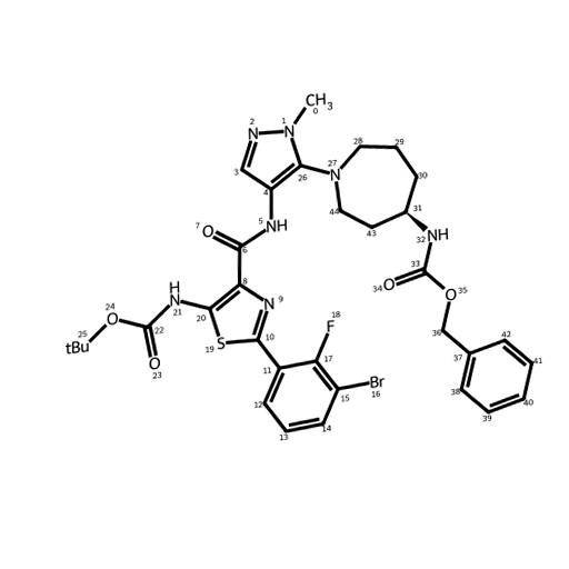 Cn1ncc(NC(=O)c2nc(-c3cccc(Br)c3F)sc2NC(=O)OC(C)(C)C)c1N1CCC[C@@H](NC(=O)OCc2ccccc2)CC1